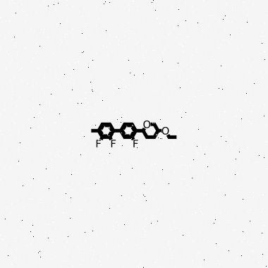 CCOC1CCC(c2ccc(-c3ccc(C)c(F)c3F)cc2F)OC1